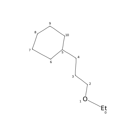 [CH2]COCCCC1CCCCC1